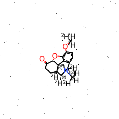 [2H]C([2H])([2H])Oc1ccc2c3c1OC1C(=O)CC[C@]4([2H])[C@@]31CCN(C([2H])([2H])[2H])[C@]4([2H])C2([2H])[2H]